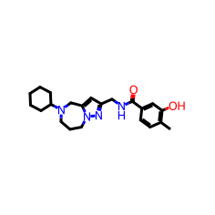 Cc1ccc(C(=O)NCc2cc3n(n2)CCCN(C2CCCCC2)C3)cc1O